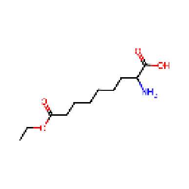 CCOC(=O)CCCCCCC(N)C(=O)O